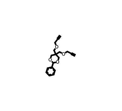 C#CCOCC1(COCC#C)COC(c2ccccc2)OC1